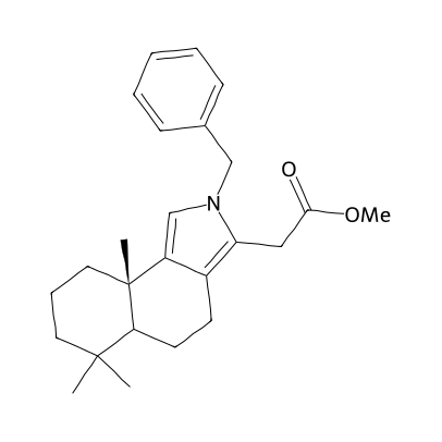 COC(=O)Cc1c2c(cn1Cc1ccccc1)[C@@]1(C)CCCC(C)(C)C1CC2